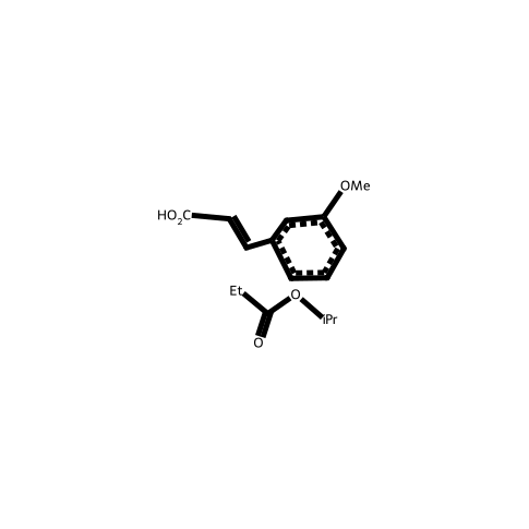 CCC(=O)OC(C)C.COc1cccc(C=CC(=O)O)c1